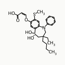 CCCCC1(CC)CN(c2ccccc2)c2cc(SC)c(O/C=C\C(=O)O)cc2S(O)(O)C1